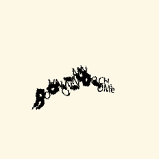 COC(C)COc1ccc2c(N3CCN(C(=O)Nc4ccc(Oc5cccc6cnccc56)cc4)CC3)ncnc2c1